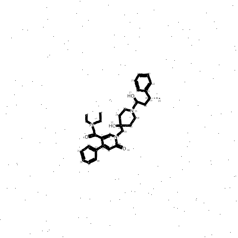 CCN(CC)C(=O)c1cn(CC2(O)CCN(C(O)C[C@@H](C)c3ccccc3)CC2)c(=O)cc1-c1ccccc1